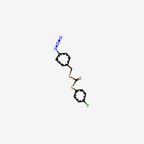 [N-]=[N+]=Nc1ccc(CSC(=S)Sc2ccc(F)cc2)cc1